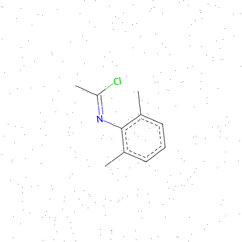 CC(Cl)=Nc1c(C)cccc1C